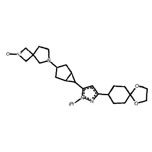 CC(C)n1nc(C2CCC3(CC2)OCCO3)cc1C1C2CC(N3CCC4(C3)C[S+]([O-])C4)CC21